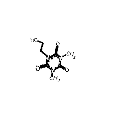 Cn1c(=O)n(C)c(=O)n(CCO)c1=O